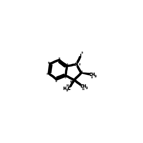 C[C@@H]1N(I)c2ccccc2C1(C)C